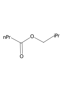 C[CH]CC(=O)OCC(C)C